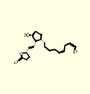 CC/C=C\C/C=C\C/C=C\C[C@H]1CC[C@H](O)[C@H]1/C=C/[C@@H]1CCC(=O)O1